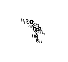 COc1cccc(C(=O)Nc2cnc(OCCNCCO)c(-c3c(Cl)cnn3C)c2)c1